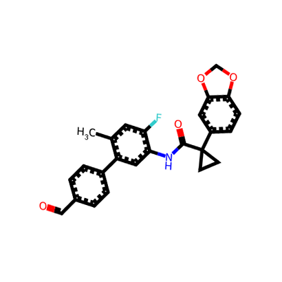 Cc1cc(F)c(NC(=O)C2(c3ccc4c(c3)OCO4)CC2)cc1-c1ccc(C=O)cc1